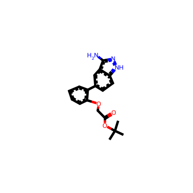 CC(C)(C)OC(=O)COc1ccccc1-c1ccc2[nH]nc(N)c2c1